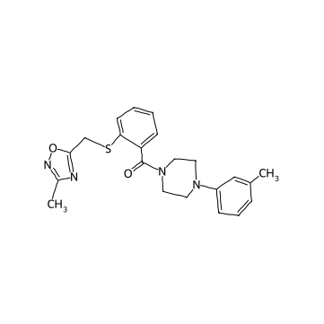 Cc1cccc(N2CCN(C(=O)c3ccccc3SCc3nc(C)no3)CC2)c1